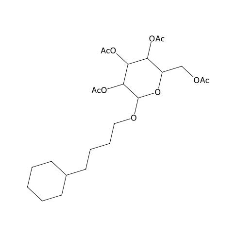 CC(=O)OCC1OC(OCCCCC2CCCCC2)C(OC(C)=O)C(OC(C)=O)C1OC(C)=O